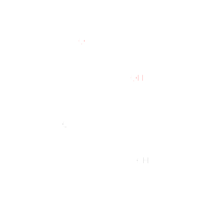 Cc1cc(C)c(CC=O)c(O)c1